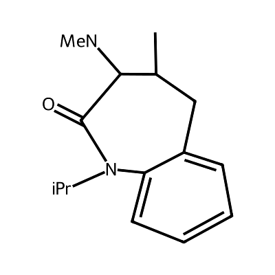 CNC1C(=O)N(C(C)C)c2ccccc2CC1C